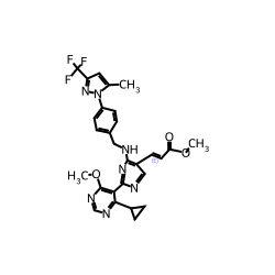 COC(=O)/C=C/c1cnc(-c2c(OC)ncnc2C2CC2)nc1NCc1ccc(-n2nc(C(F)(F)F)cc2C)cc1